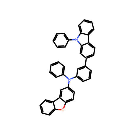 c1ccc(N(c2cccc(-c3ccc4c5ccccc5n(-c5ccccc5)c4c3)c2)c2ccc3oc4ccccc4c3c2)cc1